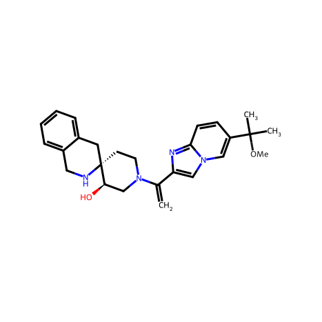 C=C(c1cn2cc(C(C)(C)OC)ccc2n1)N1CC[C@]2(Cc3ccccc3CN2)[C@H](O)C1